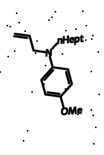 C=CCN(CCCCCCC)c1ccc(OC)cc1